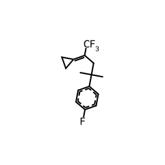 CC(C)(CC(=C1CC1)C(F)(F)F)c1ccc(F)cc1